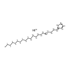 CCCCCCCCCCCCCCCCOCCCCN1C=CSC1.I